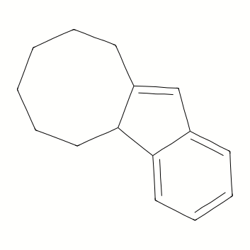 C1=C2CCCCCCC2c2ccccc21